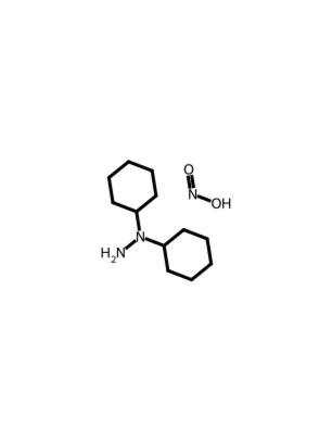 NN(C1CCCCC1)C1CCCCC1.O=NO